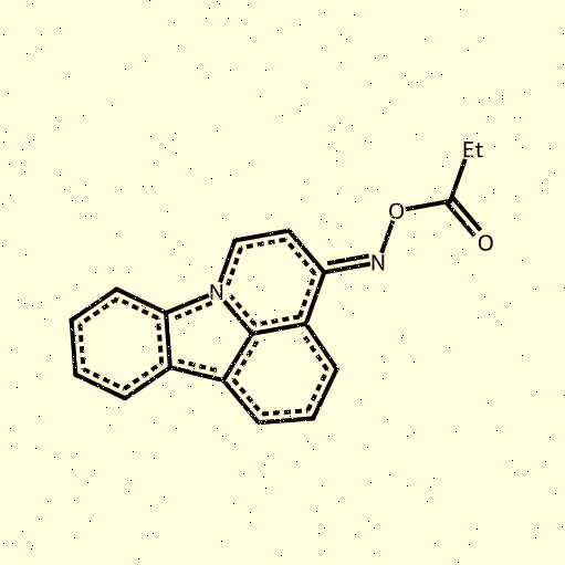 CCC(=O)O/N=c1\ccn2c3ccccc3c3cccc1c32